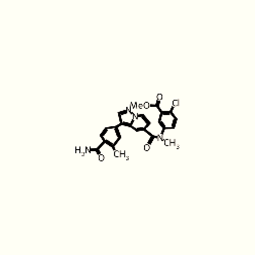 COC(=O)c1cc(N(C)C(=O)c2ccn3ncc(-c4ccc(C(N)=O)c(C)c4)c3c2)ccc1Cl